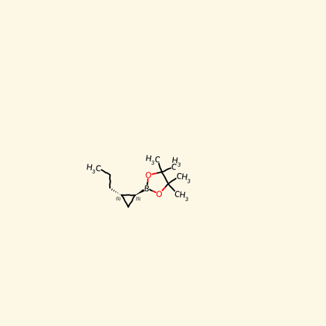 CCC[C@H]1C[C@@H]1B1OC(C)(C)C(C)(C)O1